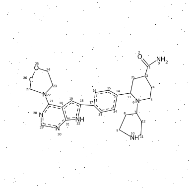 NC(=O)C1CCN(C2CCNCC2)C(c2ccc(-c3cc4c(N5CCOCC5)ncnc4[nH]3)cc2)C1